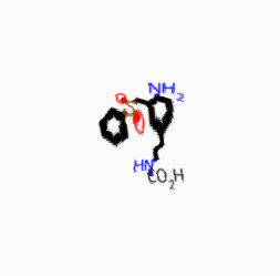 Nc1ccc(CCCNC(=O)O)cc1CS(=O)(=O)c1ccccc1